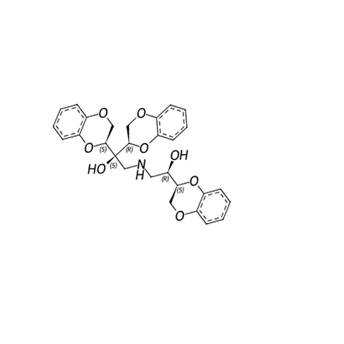 O[C@H](CNC[C@](O)([C@@H]1COc2ccccc2O1)[C@H]1COc2ccccc2O1)[C@@H]1COc2ccccc2O1